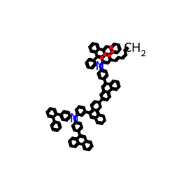 C=C/C=C\C=C\c1cc(N(c2ccc(-c3cc4cc(C5C=Cc6c(-c7cccc(N(c8ccc(-c9ccccc9-c9ccccc9)cc8)c8ccc(-c9cc%10ccccc%10c%10ccccc9%10)cc8)c7)cc7c(c6C5)CCC=C7)ccc4c4ccccc34)cc2)c2ccccc2-c2cc3ccccc3c3ccccc23)ccc1-c1ccccc1